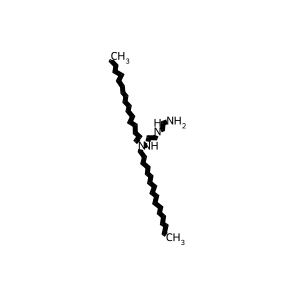 CCCCCCCCCCCCCCCCCCN(CCCCCCCCCCCCCCCCCC)NCCNCCN